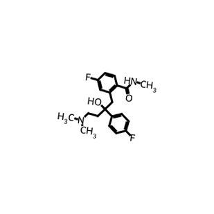 CNC(=O)c1ccc(F)cc1CC(O)(CCN(C)C)c1ccc(F)cc1